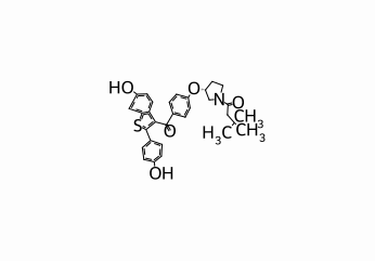 CC(C)(C)CC(=O)N1CC[C@@H](Oc2ccc(C(=O)c3c(-c4ccc(O)cc4)sc4cc(O)ccc34)cc2)C1